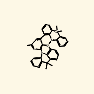 Cc1cc2c3c(c1)N1c4ccccc4C(C)(C)c4cccc(c41)B3N1c3ccccc3[Si](C)(C)c3cccc-2c31